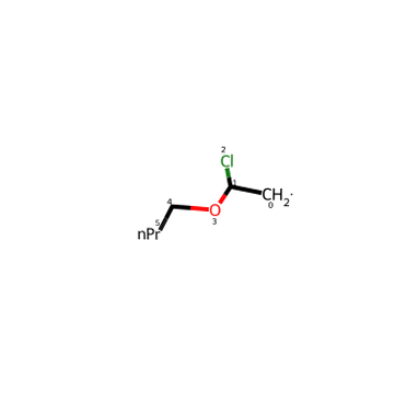 [CH2]C(Cl)OCCCC